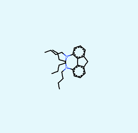 CCCCN(CCCC)c1cccc2c1-c1c(cccc1N(CCCC)CCCC)C2